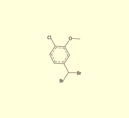 COc1cc(C(Br)Br)ccc1Cl